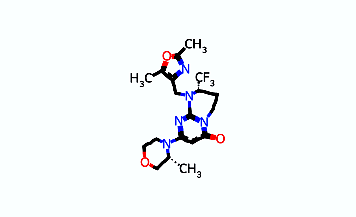 Cc1nc(CN2c3nc(N4CCOC[C@H]4C)cc(=O)n3CC[C@H]2C(F)(F)F)c(C)o1